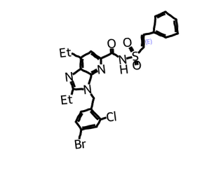 CCc1cc(C(=O)NS(=O)(=O)/C=C/c2ccccc2)nc2c1nc(CC)n2Cc1ccc(Br)cc1Cl